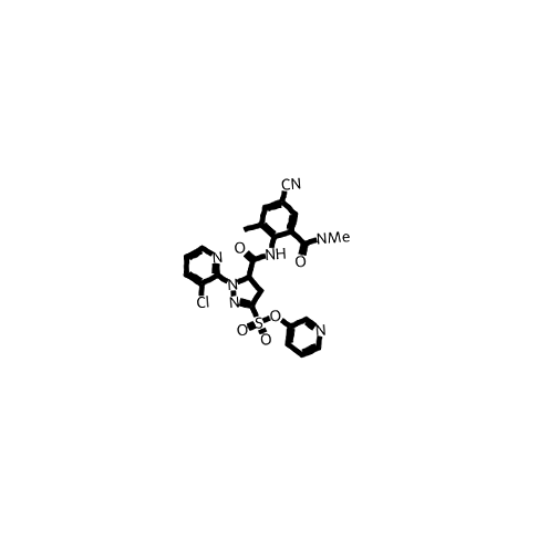 CNC(=O)c1cc(C#N)cc(C)c1NC(=O)C1CC(S(=O)(=O)Oc2cccnc2)=NN1c1ncccc1Cl